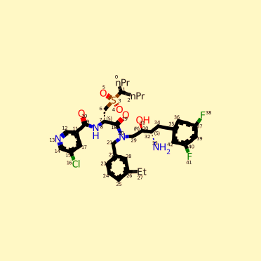 CCCC(CCC)S(=O)(=O)C[C@@H](NC(=O)c1cncc(Cl)c1)C(=O)N(Cc1cccc(CC)c1)C[C@@H](O)[C@@H](N)Cc1cc(F)cc(F)c1